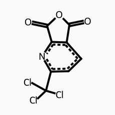 O=C1OC(=O)c2nc(C(Cl)(Cl)Cl)ccc21